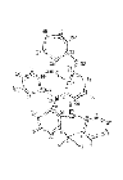 CC1(C)c2ccccc2Sc2c(N(c3ccccc3)c3cccc4c3Sc3ccccc3S4)cccc21